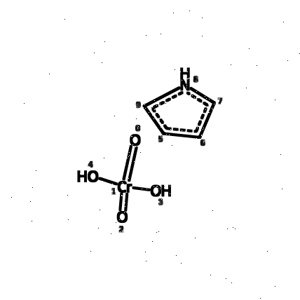 [O]=[Cr](=[O])([OH])[OH].c1cc[nH]c1